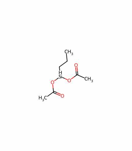 CCC[SiH](OC(C)=O)OC(C)=O